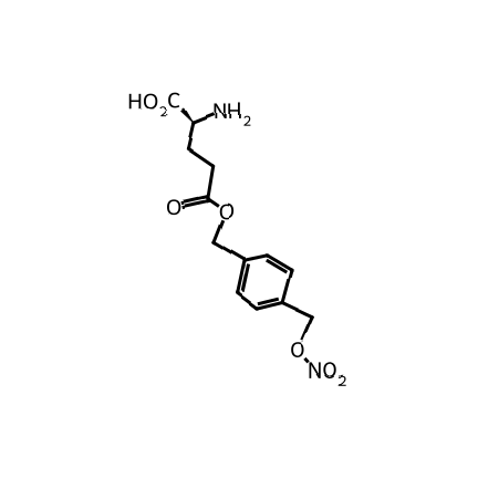 N[C@@H](CCC(=O)OCc1ccc(CO[N+](=O)[O-])cc1)C(=O)O